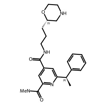 CNC(=O)c1cc(C(=O)NCCC[C@H]2CNCCO2)cc([C@H](C)c2ccccc2)n1